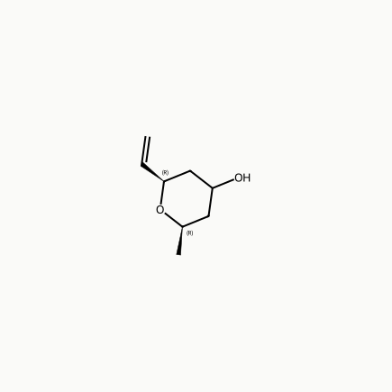 C=C[C@H]1CC(O)C[C@@H](C)O1